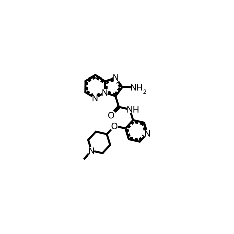 CN1CCC(Oc2ccncc2NC(=O)c2c(N)nc3cccnn23)CC1